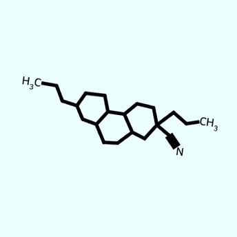 CCCC1CCC2C(CCC3CC(C#N)(CCC)CCC32)C1